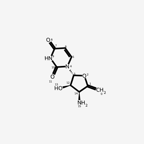 C=C1O[C@@H](n2ccc(=O)[nH]c2=O)[C@H](O)[C@@H]1N